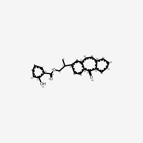 CC(COC(=O)c1ccccc1O)c1ccc2c(=O)c3ccccc3ccc2c1